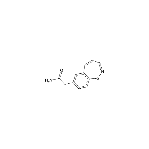 NC(=O)Cc1ccc2c(c1)C=CN=NS2